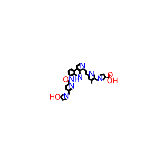 Cc1cc(/C=C/c2nccc(-c3cccc(NC(=O)c4ccc(CN5CC[C@@H](O)C5)cn4)c3C)c2C#N)ncc1CN1CC[C@@H](C(=O)O)C1